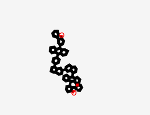 c1cc(-c2ccc(-c3c4ccccc4c(-c4ccc5oc6ccccc6c5c4)c4ccccc34)cc2)c2cc(-c3ccc4cccc(-c5c6ccccc6c(-c6cccc7oc8ccccc8c67)c6ccccc56)c4c3)ccc2c1